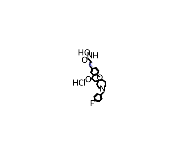 Cl.O=C(/C=C/c1ccc2c(c1)C(=O)CC1(CCCN(Cc3ccc(F)cc3)CC1)O2)NO